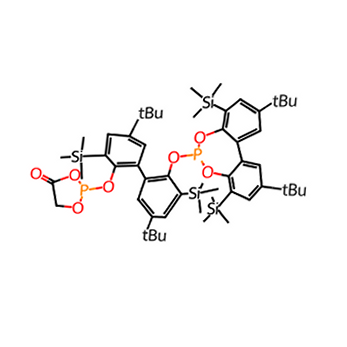 CC(C)(C)c1cc(-c2cc(C(C)(C)C)cc([Si](C)(C)C)c2Op2oc3c([Si](C)(C)C)cc(C(C)(C)C)cc3c3cc(C(C)(C)C)cc([Si](C)(C)C)c3o2)c(OP2OCC(=O)O2)c([Si](C)(C)C)c1